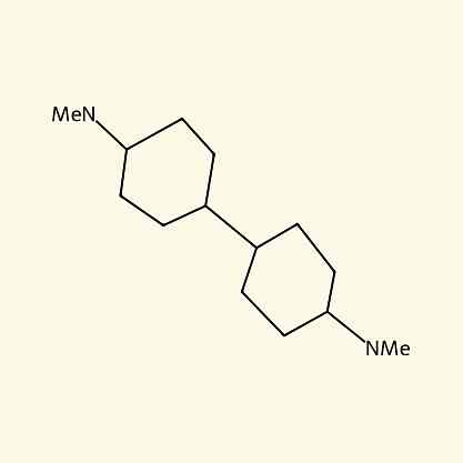 CNC1CCC(C2CCC(NC)CC2)CC1